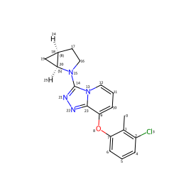 Cc1c(Cl)cccc1Oc1cccn2c(N3CC[C@@H]4C[C@@H]43)nnc12